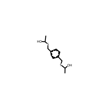 CC(O)SCc1ccc(CSC(C)O)cc1